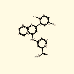 CNC(=O)c1cc(Nc2cc(-c3cc(F)ccc3F)nc3ncccc23)ccn1